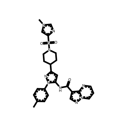 Cc1ccc(-n2nc(C3CCN(S(=O)(=O)c4cn(C)cn4)CC3)cc2NC(=O)c2cnn3cccnc23)cc1